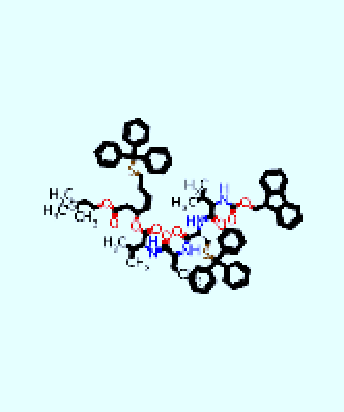 C/C=C(\NC(=O)[C@@H](CSC(c1ccccc1)(c1ccccc1)c1ccccc1)NC(=O)[C@H](NC(=O)OCC1c2ccccc2-c2ccccc21)C(C)C)C(=O)N[C@H](C(=O)OC(/C=C\CCSC(c1ccccc1)(c1ccccc1)c1ccccc1)CC(=O)OCC[Si](C)(C)C)C(C)C